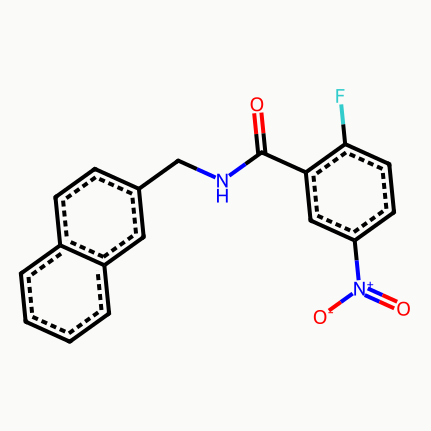 O=C(NCc1ccc2ccccc2c1)c1cc([N+](=O)[O-])ccc1F